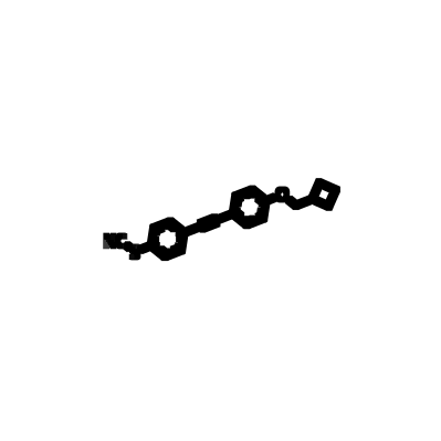 N#CSc1ccc(C#Cc2ccc(OCC3CCC3)cc2)cc1